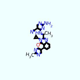 Cc1ncc(-c2cccc3nc(C(C)Nc4nc(N)ncc4C#N)n(C4CC4)c(=O)c23)cn1